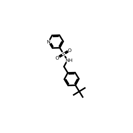 CC(C)(C)c1ccc(CNS(=O)(=O)c2cccnc2)cc1